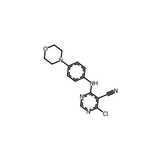 N#Cc1c(Cl)ncnc1Nc1ccc(N2CCOCC2)cc1